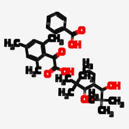 CCC(C(O)C(C)(C)C)C(O)C(C)(C)C.Cc1cc(C)c(C(=O)C(=O)O)c(C)c1.O=C(O)c1ccccc1